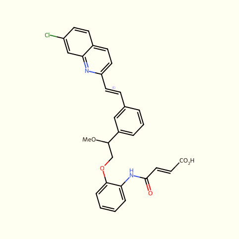 COC(COc1ccccc1NC(=O)C=CC(=O)O)c1cccc(/C=C/c2ccc3ccc(Cl)cc3n2)c1